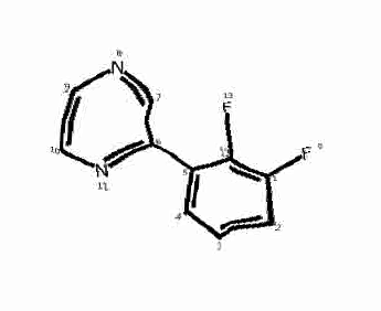 Fc1cccc(-c2cnccn2)c1F